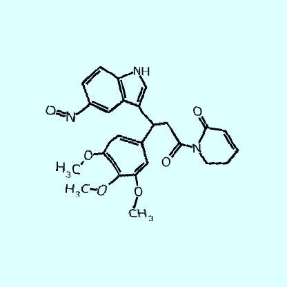 COc1cc(C(CC(=O)N2CCC=CC2=O)c2c[nH]c3ccc(N=O)cc23)cc(OC)c1OC